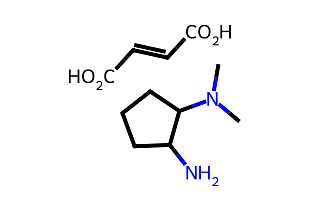 CN(C)C1CCCC1N.O=C(O)C=CC(=O)O